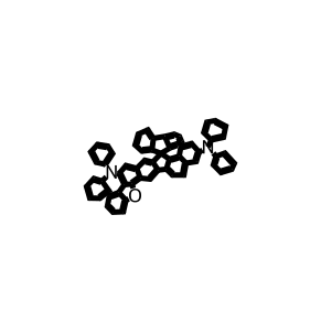 c1ccc(N(c2ccccc2)c2ccc3c4c(ccc3c2)-c2cc3c(cc2C42c4ccccc4-c4ccccc42)cc(N(c2ccccc2)c2ccccc2)c2c4ccccc4oc32)cc1